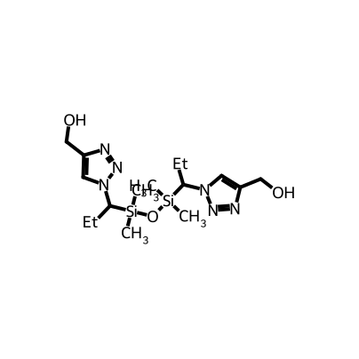 CCC(n1cc(CO)nn1)[Si](C)(C)O[Si](C)(C)C(CC)n1cc(CO)nn1